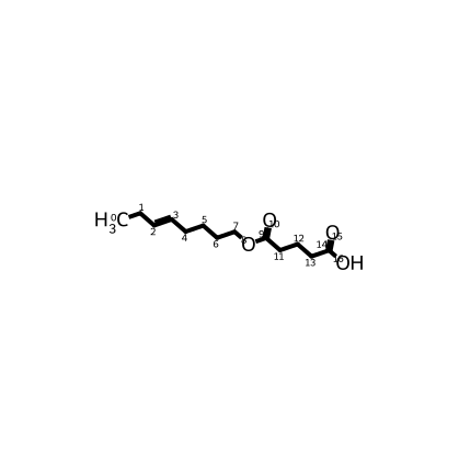 CCC=CCCCCOC(=O)CCCC(=O)O